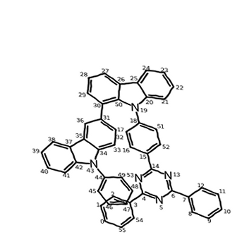 c1ccc(-c2nc(-c3ccccc3)nc(-c3ccc(-n4c5ccccc5c5cccc(-c6ccc7c(c6)c6ccccc6n7-c6ccccc6)c54)cc3)n2)cc1